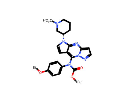 CCOc1ccc(N(C(=O)OC(C)(C)C)c2c3ccn([C@H]4CCCN(C(=O)O)C4)c3nc3ccnn23)cc1